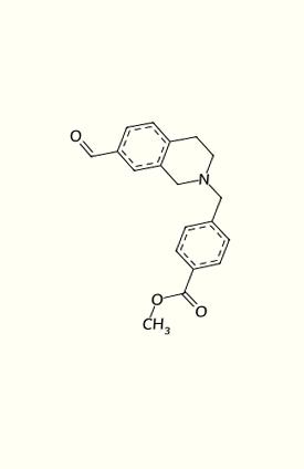 COC(=O)c1ccc(CN2CCc3ccc(C=O)cc3C2)cc1